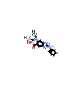 CCN(CC)c1cc2[nH]c(NC3CC4CCC3C4)nc2cc1C(=O)O